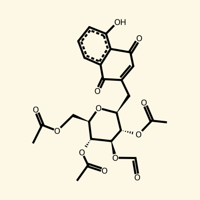 CC(=O)OC[C@H]1O[C@@H](CC2=CC(=O)c3c(O)cccc3C2=O)[C@H](OC(C)=O)[C@@H](OC=O)[C@@H]1OC(C)=O